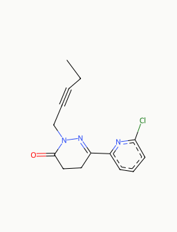 CCC#CCN1N=C(c2cccc(Cl)n2)CCC1=O